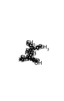 COc1ccc(CN(Cc2ccc(OC)cc2)c2ccc(C(F)(F)F)c(-c3cc4nc(OCC5CCC6(CC6)N5C)nc(N5CCN(C(=O)O)CC5)c4cc3Cl)n2)cc1